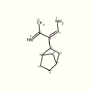 N=C(/C(=C\N)C1CC2CCC1C2)C(F)(F)F